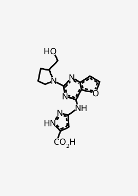 O=C(O)c1cc(Nc2nc(N3CCCC3CO)nc3ccoc23)n[nH]1